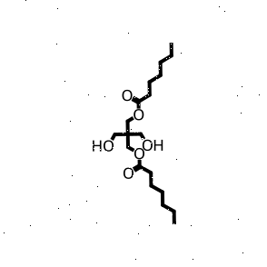 CCCCCCC(=O)OCC(CO)(CO)COC(=O)CCCCCC